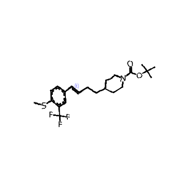 CSc1ccc(/C=C/CCC2CCN(C(=O)OC(C)(C)C)CC2)cc1C(F)(F)F